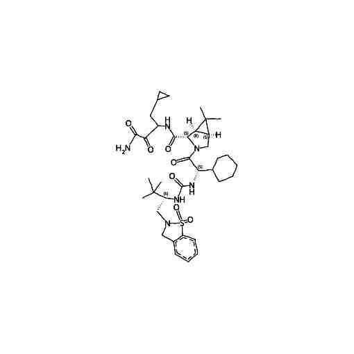 CC(C)(C)[C@@H](CN1Cc2ccccc2S1(=O)=O)NC(=O)N[C@H](C(=O)N1C[C@H]2[C@@H]([C@H]1C(=O)NC(CC1CC1)C(=O)C(N)=O)C2(C)C)C1CCCCC1